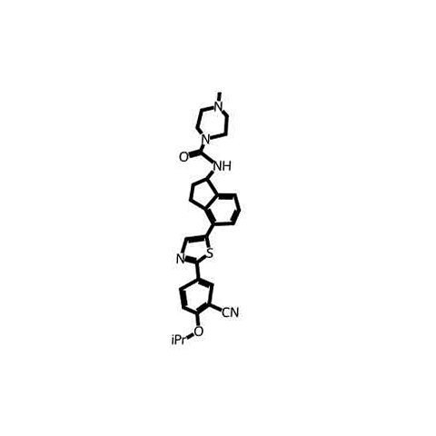 CC(C)Oc1ccc(-c2ncc(-c3cccc4c3CCC4NC(=O)N3CCN(C)CC3)s2)cc1C#N